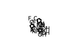 CN(N)c1ccc(C(F)(F)F)cc1[N+](=O)[O-].CN(N=Cc1ccc(O)c(O)c1O)c1ccc(C(F)(F)F)cc1[N+](=O)[O-]